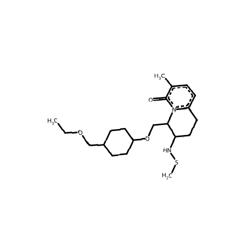 CCOCC1CCC(OCC2C(NSC)CCc3ccc(C)c(=O)n32)CC1